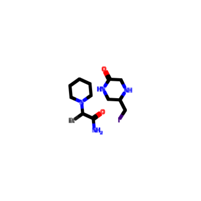 CCC(C(N)=O)N1CCCCC1.O=C1CNC(CI)CN1